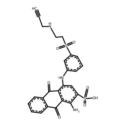 C#CCNCCS(=O)(=O)c1cccc(Nc2cc(S(=O)(=O)O)c(N)c3c2C(=O)c2ccccc2C3=O)c1